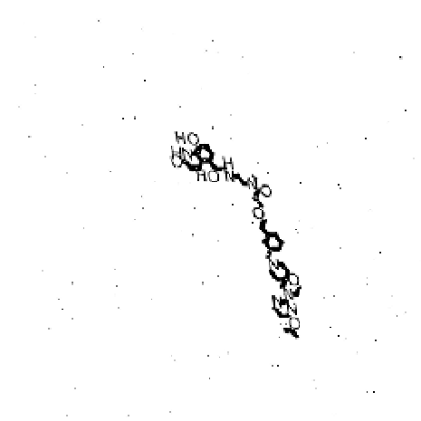 CC(C)Oc1ccnc(N2CCOC3(CCN(Cc4cccc(CCOCCC(=O)N(C)CCNCC(O)c5ccc(O)c6[nH]c(=O)ccc56)c4)CC3)C2)n1